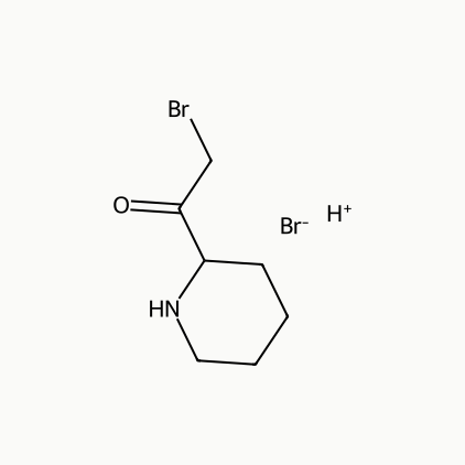 O=C(CBr)C1CCCCN1.[Br-].[H+]